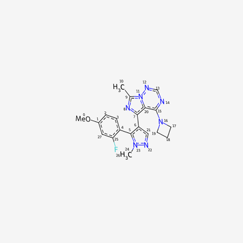 COc1ccc(-c2c(-c3nc(C)n4ncnc(N5CCC5)c34)cnn2C)c(F)c1